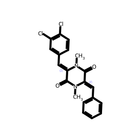 Cn1c(=O)/c(=C/c2ccc(Cl)c(Cl)c2)n(C)c(=O)/c1=C/c1ccccc1